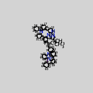 CC(C)(C)c1c[nH]c(N2c3ccccc3-c3ccccc3N(c3ccccc3)c3ccccc3-c3ccc(CCc4cccc(N5C[N+](I)(c6c(-c7ccccc7)cccc6-c6ccccc6)c6ccccc65)c4)cc32)c1